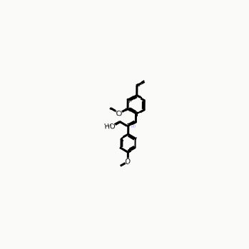 CCc1ccc(/C=C(\CO)c2ccc(OC)cc2)c(OC)c1